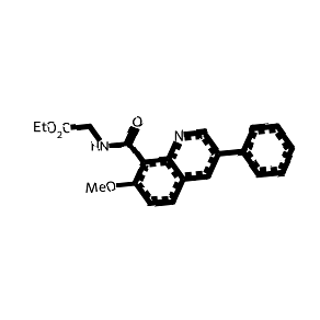 CCOC(=O)CNC(=O)c1c(OC)ccc2cc(-c3ccccc3)cnc12